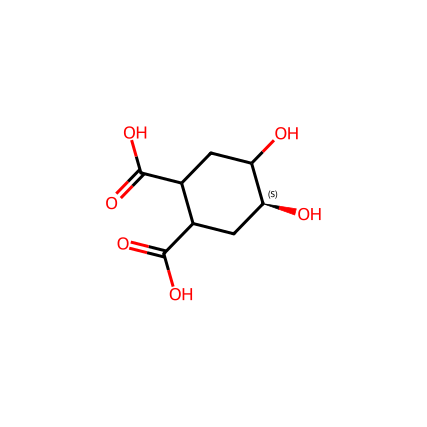 O=C(O)C1CC(O)[C@@H](O)CC1C(=O)O